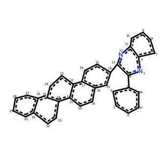 c1ccc(-c2nc3ccccc3nc2-c2ccc3c(ccc4c3ccc3c5ccccc5ccc34)c2)cc1